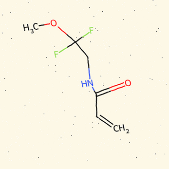 C=CC(=O)NCC(F)(F)OC